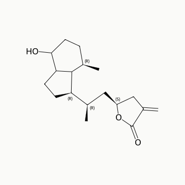 C=C1C[C@H](C[C@@H](C)[C@H]2CCC3C(O)CC[C@@H](C)C32)OC1=O